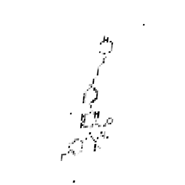 CN1CCN(CCCOc2ccc(-c3nnc4c(n3)c(=O)n(C)c(=O)n4-c3ccc(F)cc3)cc2)CC1